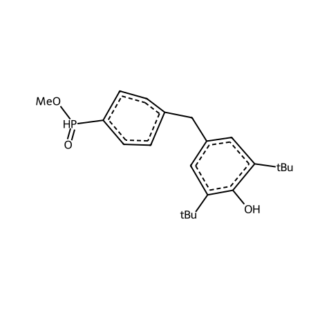 CO[PH](=O)c1ccc(Cc2cc(C(C)(C)C)c(O)c(C(C)(C)C)c2)cc1